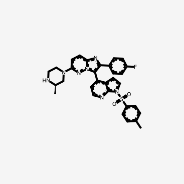 Cc1ccc(S(=O)(=O)n2ccc3c(-c4c(-c5ccc(F)cc5)nc5ccc(N6CCN[C@H](C)C6)nn45)ccnc32)cc1